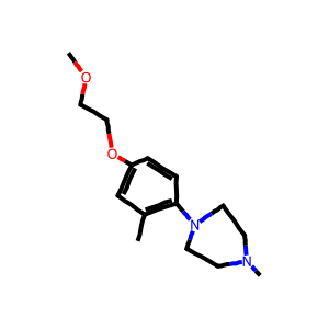 COCCOc1ccc(N2CCN(C)CC2)c(C)c1